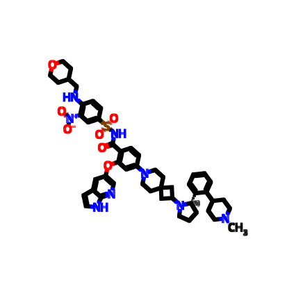 CN1CCC(c2ccccc2[C@@H]2CCCN2C2CC3(CCN(c4ccc(C(=O)NS(=O)(=O)c5ccc(NCC6CCOCC6)c([N+](=O)[O-])c5)c(Oc5cnc6[nH]ccc6c5)c4)CC3)C2)CC1